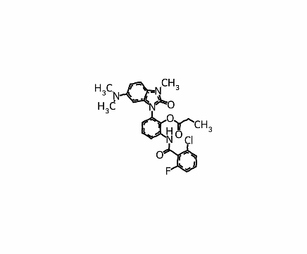 CCC(=O)Oc1c(NC(=O)c2c(F)cccc2Cl)cccc1-n1c(=O)n(C)c2ccc(N(C)C)cc21